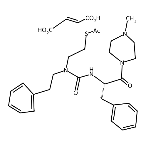 CC(=O)SCCN(CCc1ccccc1)C(=O)N[C@@H](Cc1ccccc1)C(=O)N1CCN(C)CC1.O=C(O)C=CC(=O)O